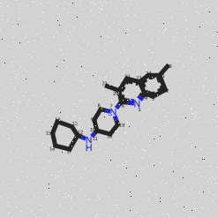 Cc1ccc2nc(N3CCC(NC4CCCCC4)CC3)c(C)cc2c1